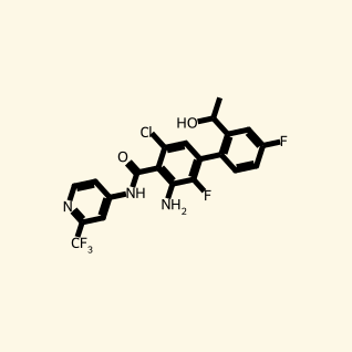 CC(O)c1cc(F)ccc1-c1cc(Cl)c(C(=O)Nc2ccnc(C(F)(F)F)c2)c(N)c1F